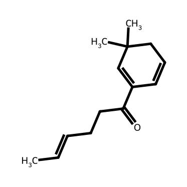 CC=CCCC(=O)C1=CC(C)(C)CC=C1